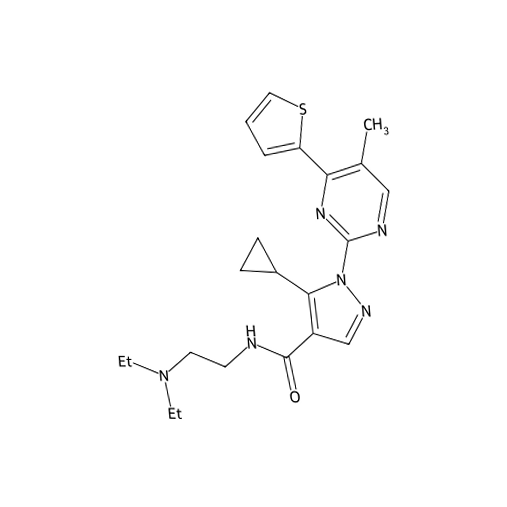 CCN(CC)CCNC(=O)c1cnn(-c2ncc(C)c(-c3cccs3)n2)c1C1CC1